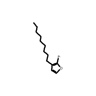 CCCCCCCCCc1ccoc1[P]